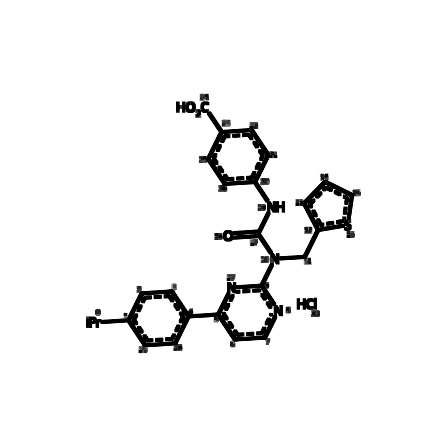 CC(C)c1ccc(-c2ccnc(N(Cc3cccs3)C(=O)Nc3ccc(C(=O)O)cc3)n2)cc1.Cl